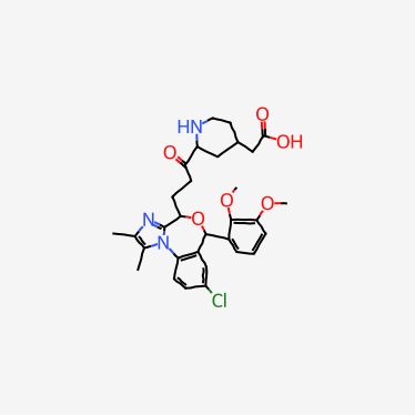 COc1cccc(C2OC(CCC(=O)C3CC(CC(=O)O)CCN3)c3nc(C)c(C)n3-c3ccc(Cl)cc32)c1OC